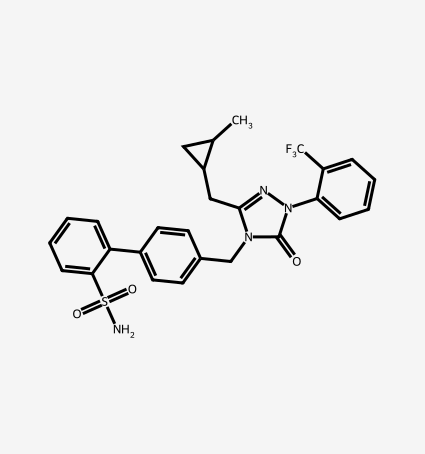 CC1CC1Cc1nn(-c2ccccc2C(F)(F)F)c(=O)n1Cc1ccc(-c2ccccc2S(N)(=O)=O)cc1